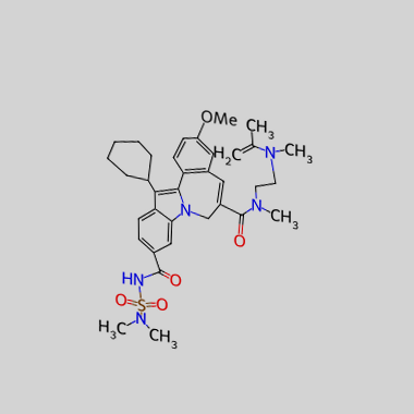 C=C(C)N(C)CCN(C)C(=O)C1=Cc2cc(OC)ccc2-c2c(C3CCCCC3)c3ccc(C(=O)NS(=O)(=O)N(C)C)cc3n2C1